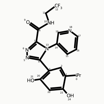 CC(C)c1cc(-c2nnc(C(=O)NCC(F)(F)F)n2-c2cccnc2)c(O)cc1O